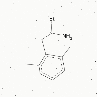 CCC(N)Cc1c(C)cccc1C